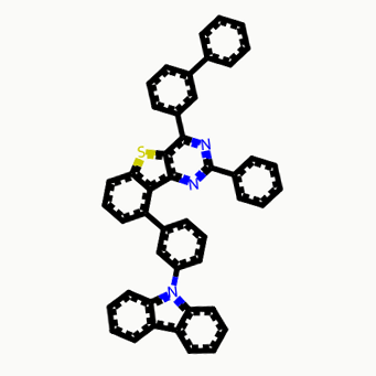 c1ccc(-c2cccc(-c3nc(-c4ccccc4)nc4c3sc3cccc(-c5cccc(-n6c7ccccc7c7ccccc76)c5)c34)c2)cc1